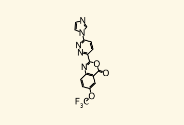 O=c1oc(-c2ccc(-n3ccnc3)nn2)nc2ccc(OC(F)(F)F)cc12